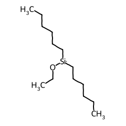 CCCCCC[Si](CCCCCC)OCC